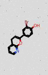 Oc1ccc(C2=CCc3cccnc3O2)cc1Br